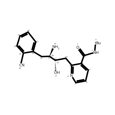 CC(C)(C)NC(=O)c1cccnc1C[C@H](O)[C@H](N)Cc1ccccc1C#N